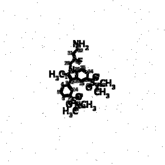 Cc1c(-c2cccc(S(=O)(=O)N(C)C)c2)c2cc(S(=O)(=O)C(C)C)ccc2n1CC(F)=CCN